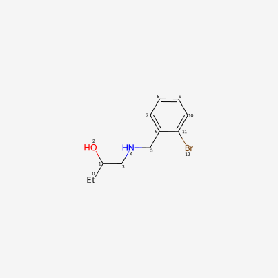 CCC(O)CNCc1ccccc1Br